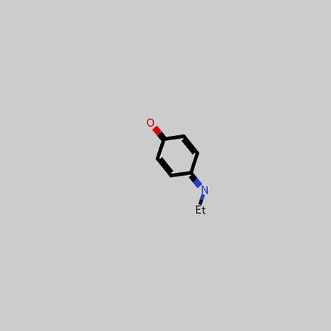 CCN=C1C=CC(=O)C=C1